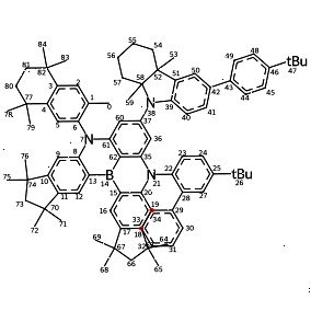 Cc1cc2c(cc1N1c3cc4c(cc3B3c5cc6c(cc5N(c5ccc(C(C)(C)C)cc5-c5ccccc5)c5cc(N7c8ccc(-c9ccc(C(C)(C)C)cc9)cc8C8(C)CCCCC78C)cc1c53)C(C)(C)CC6(C)C)C(C)(C)CC4(C)C)C(C)(C)CCC2(C)C